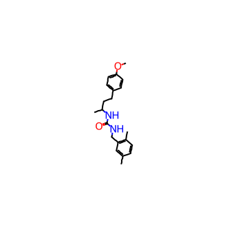 COc1ccc(CCC(C)NC(=O)NCc2cc(C)ccc2C)cc1